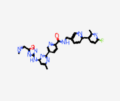 C/N=C\c1nc(Nc2cc(C)nc(-c3ccc(C(=O)NCc4ccc(-c5ccc(F)nc5C)nc4)nc3)n2)no1